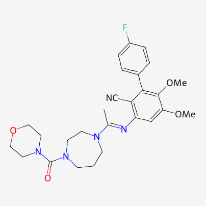 COc1cc(/N=C(\C)N2CCCN(C(=O)N3CCOCC3)CC2)c(C#N)c(-c2ccc(F)cc2)c1OC